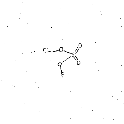 O=S(=O)(OF)OCl